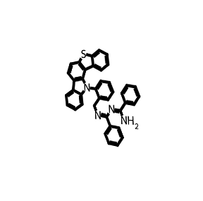 N/C(=N\C(=N/Cc1ccccc1-n1c2ccccc2c2ccc3sc4ccccc4c3c21)c1ccccc1)c1ccccc1